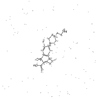 CC1Sc2c(C(=O)O)c(=O)c3cc(F)c(N4CCN(CCO)CC4)cc3n21